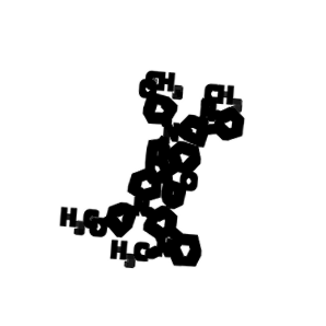 CCn1c2ccccc2c2ccc(N(c3ccc(OC)cc3)c3ccc4c(c3)C3(c5ccccc5Oc5ccccc53)c3cc(N(c5ccc(OC)cc5)c5ccc6c7ccccc7n(CC)c6c5)ccc3-4)cc21